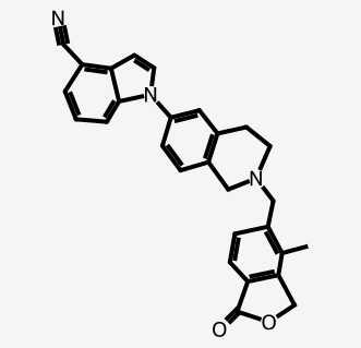 Cc1c(CN2CCc3cc(-n4ccc5c(C#N)cccc54)ccc3C2)ccc2c1COC2=O